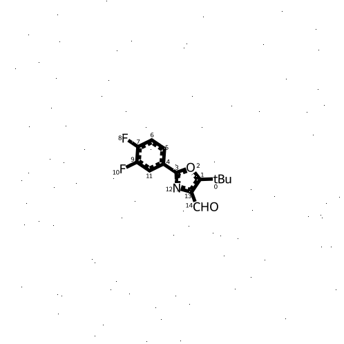 CC(C)(C)c1oc(-c2ccc(F)c(F)c2)nc1C=O